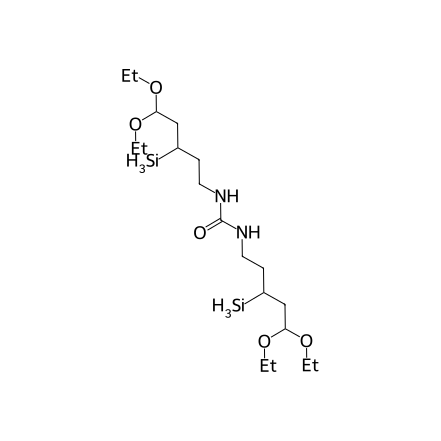 CCOC(CC([SiH3])CCNC(=O)NCCC([SiH3])CC(OCC)OCC)OCC